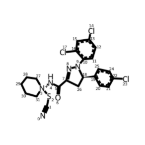 N#CS[N+]1(NC(=O)C2=NN(c3ccc(Cl)cc3Cl)[C@@H](c3ccc(Cl)cc3)C2)CCCCC1